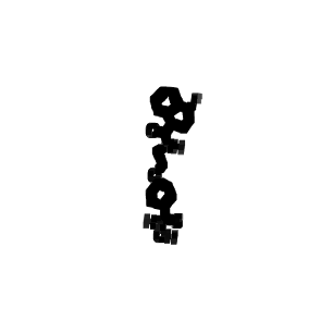 O=C(NCCOc1ccc(C(=S)NO)cc1)c1ccc(F)c2ccccc12